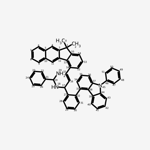 CC1(C)c2cc3ccccc3cc2-c2c(/C=C/C(NC(N)c3ccccc3)c3ccccc3-c3cccc4c3c3ccccc3n4-c3ccccc3)cccc21